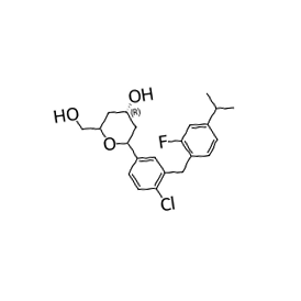 CC(C)c1ccc(Cc2cc(C3C[C@@H](O)CC(CO)O3)ccc2Cl)c(F)c1